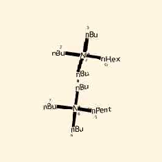 CCCCCC[N+](CCCC)(CCCC)CCCC.CCCCC[N+](CCCC)(CCCC)CCCC